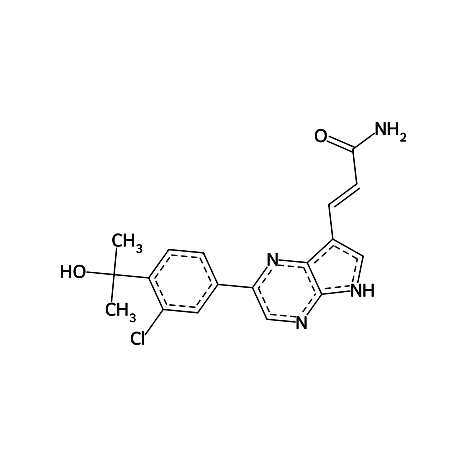 CC(C)(O)c1ccc(-c2cnc3[nH]cc(C=CC(N)=O)c3n2)cc1Cl